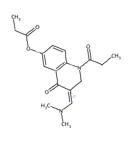 CCC(=O)Oc1ccc2c(c1)C(=O)/C(=C\N(C)C)CN2C(=O)CC